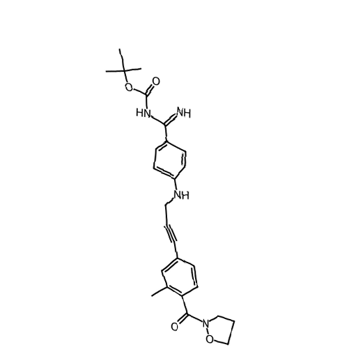 Cc1cc(C#CCNc2ccc(C(=N)NC(=O)OC(C)(C)C)cc2)ccc1C(=O)N1CCCO1